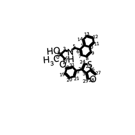 C[C@](O)(CNCc1cccc2ccccc12)COc1cccc(-c2csc3cocc23)c1